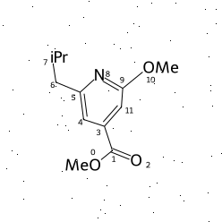 COC(=O)c1cc(CC(C)C)nc(OC)c1